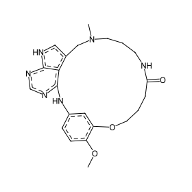 COc1ccc2cc1OCCCC(=O)NCCCN(C)Cc1c[nH]c3ncnc(c13)N2